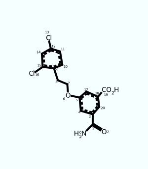 NC(=O)c1cc(OCCc2ccc(Cl)cc2Cl)cc(C(=O)O)c1